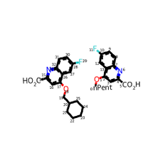 CCCCCOc1cc(C(=O)O)nc2ccc(F)cc12.O=C(O)c1cc(OCC2CCCCC2)c2cc(F)ccc2n1